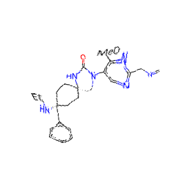 C=NCc1ncc(N2C[C@]3(CC[C@](NCC)(c4ccccc4)CC3)NC2=O)c(OC)n1